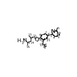 Cc1nccc(-c2ccc(OCC(C)CC(C)N)c(CF)c2)n1